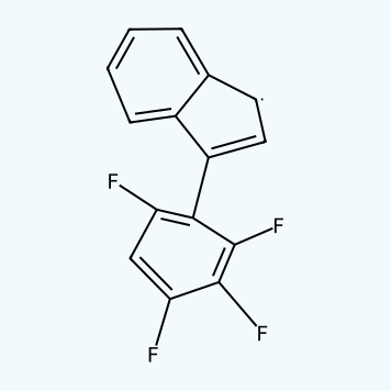 Fc1cc(F)c(C2=C[CH]c3ccccc32)c(F)c1F